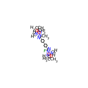 Cc1[nH]c([C@@H]2C[C@H]3C[C@H]3N2C(=O)OC(C)(C)C)nc1-c1ccc(-c2ccc(-c3nc([C@@H]4C[C@H]5C[C@H]5N4C(=O)OC(C)(C)C)[nH]c3F)cc2)cc1